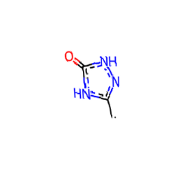 [CH2]c1n[nH]c(=O)[nH]1